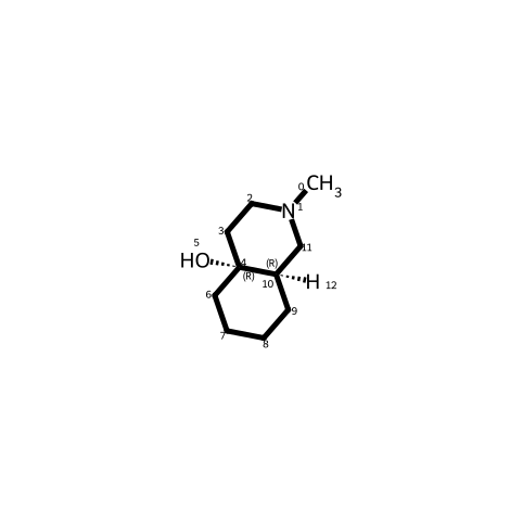 CN1CC[C@]2(O)CCCC[C@@H]2C1